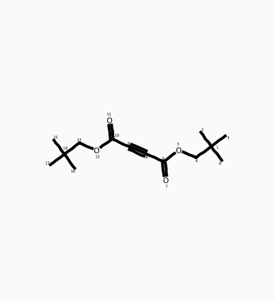 CC(C)(C)COC(=O)C#CC(=O)OCC(C)(C)C